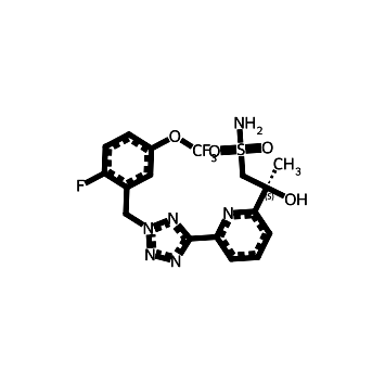 C[C@@](O)(CS(N)(=O)=O)c1cccc(-c2nnn(Cc3cc(OC(F)(F)F)ccc3F)n2)n1